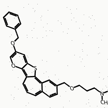 CN(C)CCCOCc1ccc2c(c1)=c1sc3c(c1C=CC=2)OC=C(OCc1ccccc1)C=3